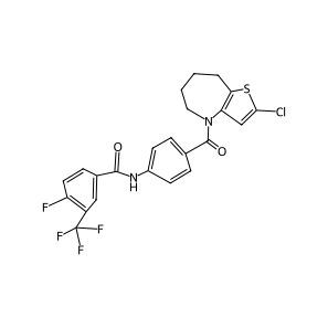 O=C(Nc1ccc(C(=O)N2CCCCc3sc(Cl)cc32)cc1)c1ccc(F)c(C(F)(F)F)c1